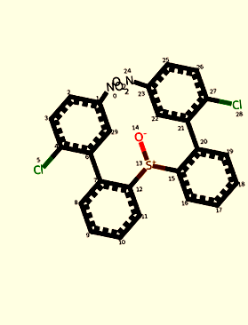 O=[N+]([O-])c1ccc(Cl)c(-c2ccccc2[S+]([O-])c2ccccc2-c2cc([N+](=O)[O-])ccc2Cl)c1